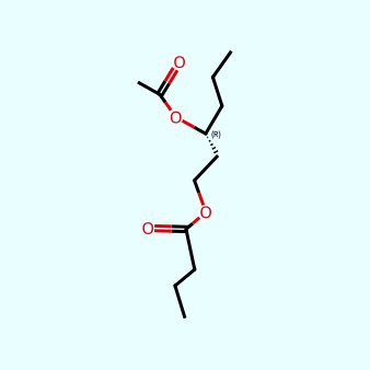 CCCC(=O)OCC[C@@H](CCC)OC(C)=O